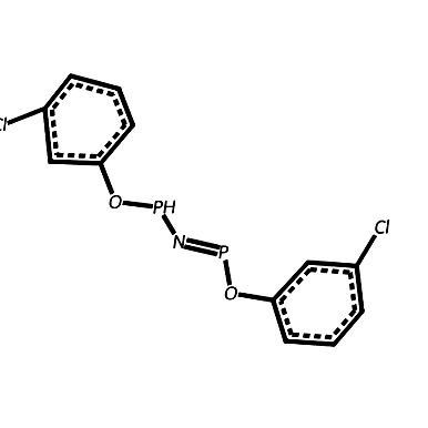 Clc1cccc(OP=NPOc2cccc(Cl)c2)c1